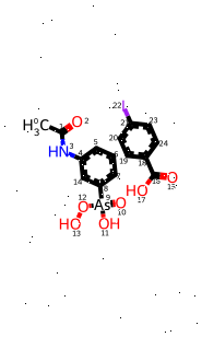 CC(=O)Nc1cccc([As](=O)(O)OO)c1.O=C(O)c1ccc(I)cc1